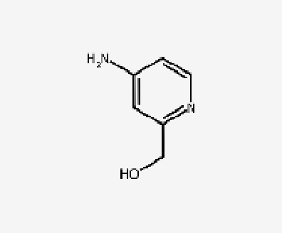 Nc1ccnc(CO)c1